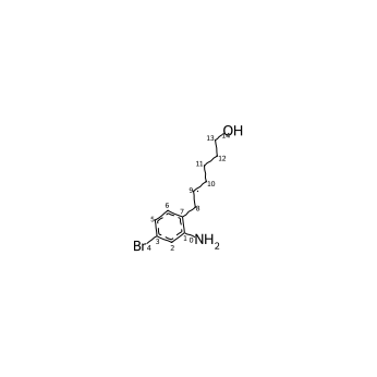 Nc1cc(Br)ccc1C[CH]CCCCO